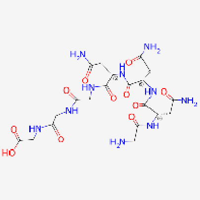 NCC(=O)N[C@@H](CC(N)=O)C(=O)N[C@@H](CC(N)=O)C(=O)N[C@@H](CC(N)=O)C(=O)NCC(=O)NCC(=O)NCC(=O)O